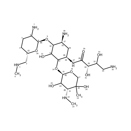 CNC[C@@H]1CCC(N)[C@@H](OC2C(O)C(O[C@H]3OCC(C)(O)[C@H](NC)C3O)[C@H](NC(=O)[C@@H](O)C(O)CN)C[C@@H]2N)O1